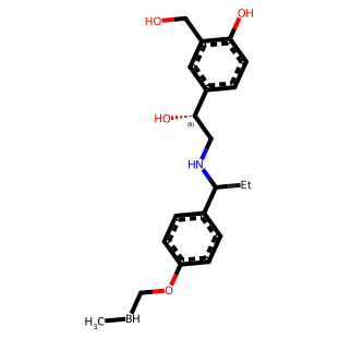 CBCOc1ccc(C(CC)NC[C@H](O)c2ccc(O)c(CO)c2)cc1